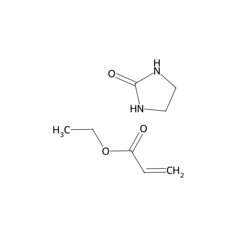 C=CC(=O)OCC.O=C1NCCN1